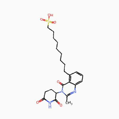 Cc1nc2cccc(CCCCCCCCCS(=O)(=O)O)c2c(=O)n1C1CCC(=O)NC1=O